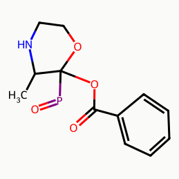 CC1NCCOC1(OC(=O)c1ccccc1)P=O